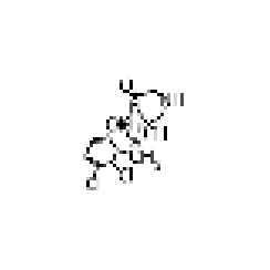 CC1([C@H]2C[C@H]3CNCC(=O)N3C2)C(O)=CC=C(Cl)C1Cl